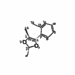 [CH2][C@@H]1OC(C)O[C@H]1c1ccccc1C